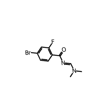 CN(C)C=NC(=O)c1ccc(Br)cc1F